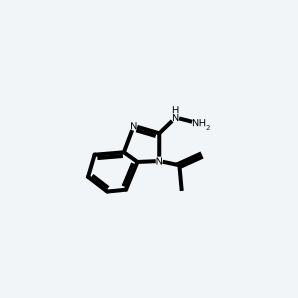 C=C(C)n1c(NN)nc2ccccc21